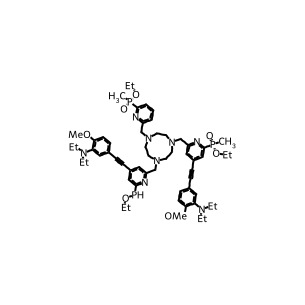 CCOPc1cc(C#Cc2ccc(OC)c(N(CC)CC)c2)cc(CN2CCN(Cc3cccc(P(C)(=O)OCC)n3)CCN(Cc3cc(C#Cc4ccc(OC)c(N(CC)CC)c4)cc(P(C)(=O)OCC)n3)CC2)n1